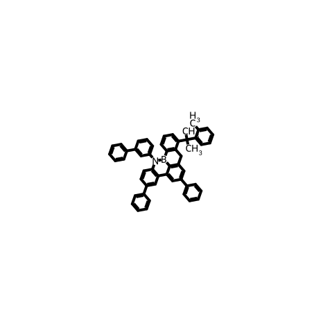 Cc1ccccc1C(C)(C)c1cccc2c1Cc1cc(-c3ccccc3)cc3c1B2N(c1cccc(-c2ccccc2)c1)c1ccc(-c2ccccc2)cc1-3